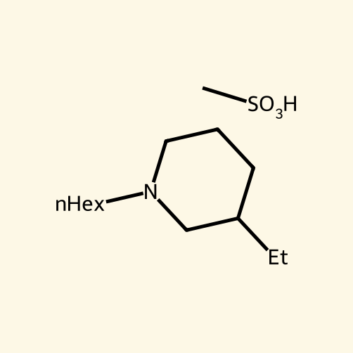 CCCCCCN1CCCC(CC)C1.CS(=O)(=O)O